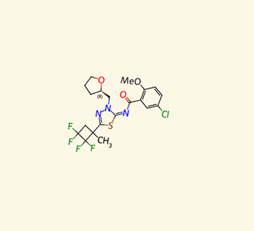 COc1ccc(Cl)cc1C(=O)N=c1sc(C2(C)CC(F)(F)C2(F)F)nn1C[C@H]1CCCO1